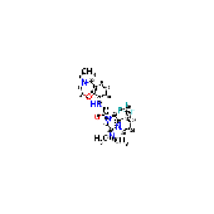 CCN1CCOc2c(cccc2NCC(=O)N(CCN(C)C)Cc2ncccc2C(F)(F)F)C1